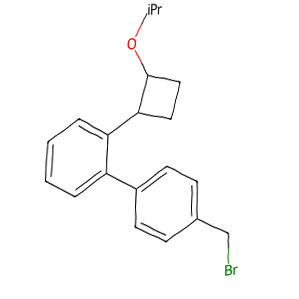 CC(C)OC1CCC1c1ccccc1-c1ccc(CBr)cc1